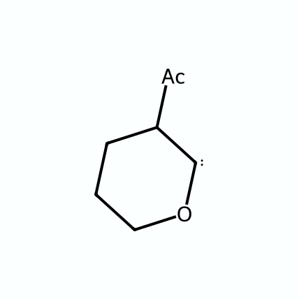 CC(=O)C1[C]OCCC1